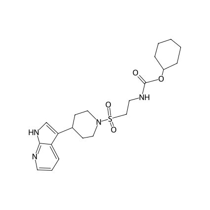 O=C(NCCS(=O)(=O)N1CCC(c2c[nH]c3ncccc23)CC1)OC1CCCCC1